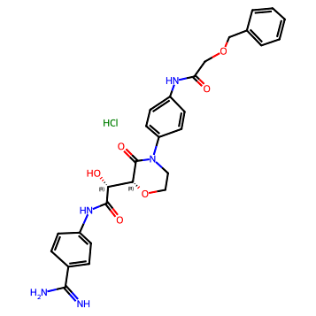 Cl.N=C(N)c1ccc(NC(=O)[C@H](O)[C@H]2OCCN(c3ccc(NC(=O)COCc4ccccc4)cc3)C2=O)cc1